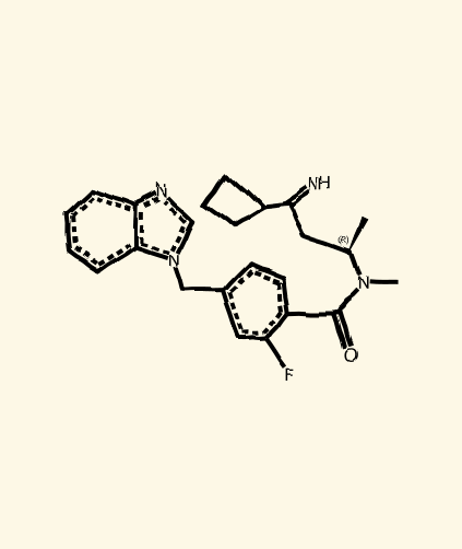 C[C@H](CC(=N)C1CCC1)N(C)C(=O)c1ccc(Cn2cnc3ccccc32)cc1F